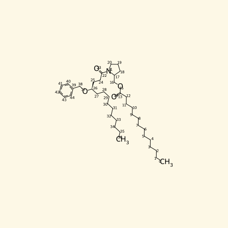 CCCCCCCCCCCCCC(=O)OCC1CCCN1C(=O)CC[C@@H](CCCCCCCCCC)OCc1ccccc1